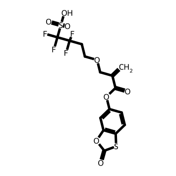 C=C(COCCC(F)(F)C(F)(F)S(=O)(=O)O)C(=O)Oc1ccc2sc(=O)oc2c1